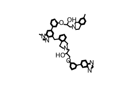 Cc1ccc2c(c1)CN(CC(O)COc1cccc(-c3cc(Cc4cccc5c4CCN(CC(O)COc4cccc(-c6ccc7ncn(C)c7c6)c4)C5)c4ncn(C)c4c3)c1)CC2